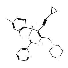 C[C@]1(c2ccc(F)cc2Cl)N=C(c2ccccn2)NC(CN2CCOCC2)=C1C#CC1CC1